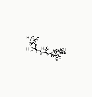 CC(=O)C(=O)CC(C)=CCC/C(C)=C/COP(=O)(O)OP(=O)(O)O